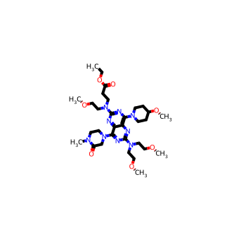 CCOC(=O)CCN(CCOC)c1nc(N2CCC(OC)CC2)c2nc(N(CCOC)CCOC)nc(N3CCN(C)C(=O)C3)c2n1